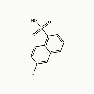 O=S(=O)(O)c1cccc2cc(S)ccc12